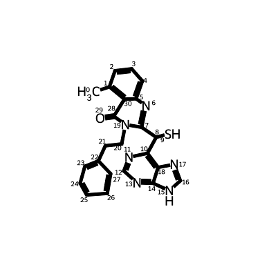 Cc1cccc2nc(C(S)c3ncnc4[nH]cnc34)n(CCc3ccccc3)c(=O)c12